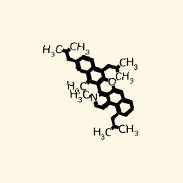 Cc1c2c(c(CC(C)C)c3ccc(CC(C)C)cc13)Oc1cc3cccc(CC(C)C)c3c3cc[n+](C)c-2c13